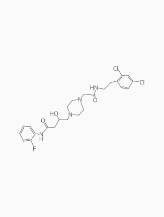 O=C(CN1CCN(CC(O)CC(=O)Nc2ccccc2F)CC1)NCCc1ccc(Cl)cc1Cl